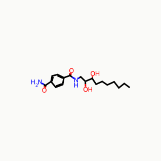 CCCCCCCC(O)C(O)CNC(=O)c1ccc(C(N)=O)cc1